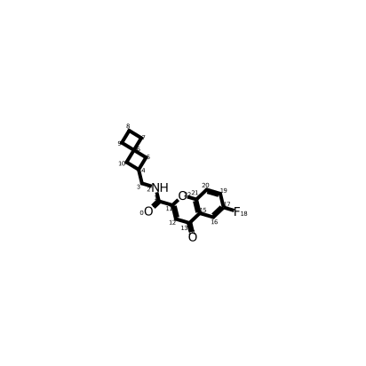 O=C(NCC1CC2(CCC2)C1)c1cc(=O)c2cc(F)ccc2o1